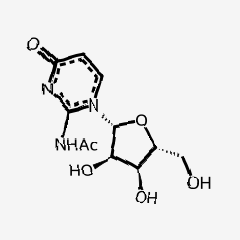 CC(=O)Nc1nc(=O)ccn1[C@@H]1O[C@H](CO)[C@@H](O)[C@H]1O